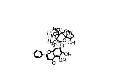 CC1(O)C(C)(O)[C@](C)(O)C(C)(C(=O)O)O[C@@]1(C)Oc1cc2oc(-c3ccccc3)cc(=O)c2c(O)c1O